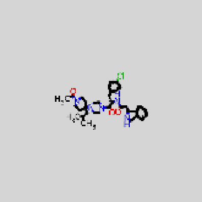 CC(=O)N1CCC(CC(C)C)(N2CCN(C(=O)[C@@H](Cc3ccc(Cl)cc3)NC(=O)CC3NCc4ccccc43)CC2)CC1